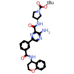 CC(C)(C)OC(=O)N1CC[C@H](NC(=O)c2nc(-c3cccc(C(=O)NC4CCOc5ccccc54)c3)cnc2N)C1